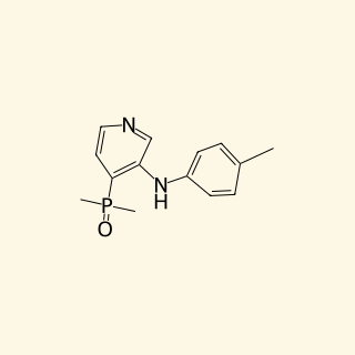 Cc1ccc(Nc2cnccc2P(C)(C)=O)cc1